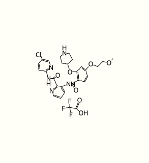 COCCOc1ccc(C(=O)Nc2cccnc2C(=O)Nc2ccc(Cl)cn2)c(OC2CCNCC2)c1.O=C(O)C(F)(F)F